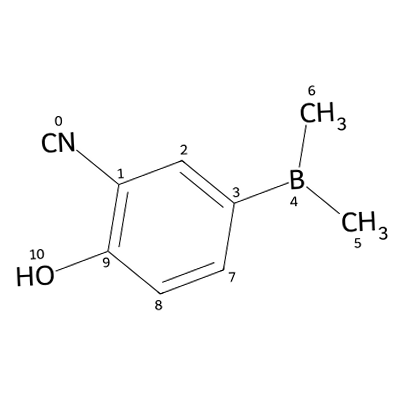 [C-]#[N+]c1cc(B(C)C)ccc1O